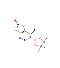 CCc1c(B2OC(C)(C)C(C)(C)O2)cnc2c1oc(=O)n2C